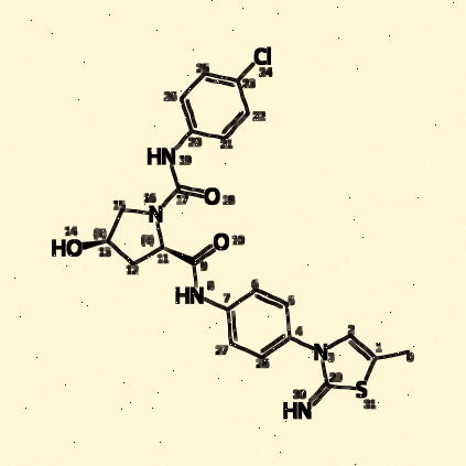 Cc1cn(-c2ccc(NC(=O)[C@H]3C[C@@H](O)CN3C(=O)Nc3ccc(Cl)cc3)cc2)c(=N)s1